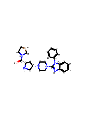 O=C([C@@H]1C[C@H](N2CCN(c3nc4ccccc4n3-c3ccccc3)CC2)CN1)N1CCSC1